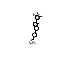 CCCC1CCC(C2CCc3c(ccc(-c4cc(F)c(Cl)c(F)c4)c3F)C2)CC1